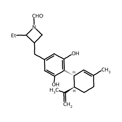 C=C(C)[C@@H]1CCC(C)=C[C@H]1c1c(O)cc(CC2CN([C]=O)C2CC)cc1O